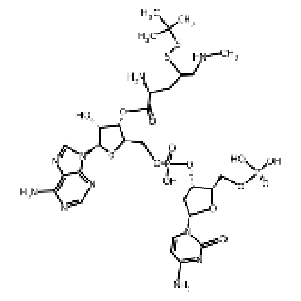 CNCC(C[C@H](N)C(=O)O[C@H]1[C@@H](O)[C@H](n2cnc3c(N)ncnc32)O[C@@H]1COP(=O)(O)O[C@H]1C[C@H](n2ccc(N)nc2=O)O[C@@H]1COP(=O)(O)O)SSC(C)(C)C